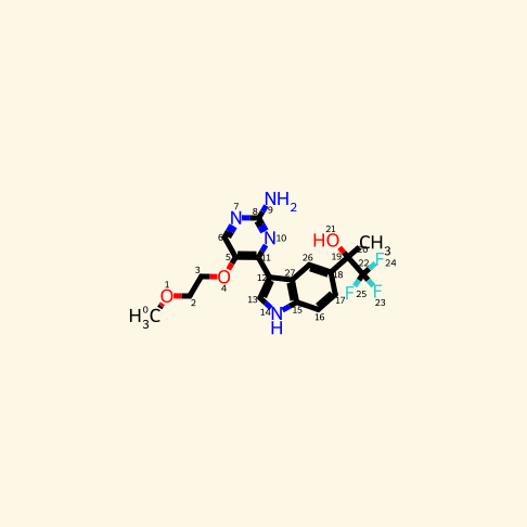 COCCOc1cnc(N)nc1-c1c[nH]c2ccc(C(C)(O)C(F)(F)F)cc12